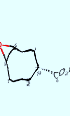 O=C(O)[C@@H]1CCC2OC2C1